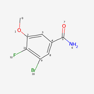 COc1cc(C(N)=O)cc(Br)c1F